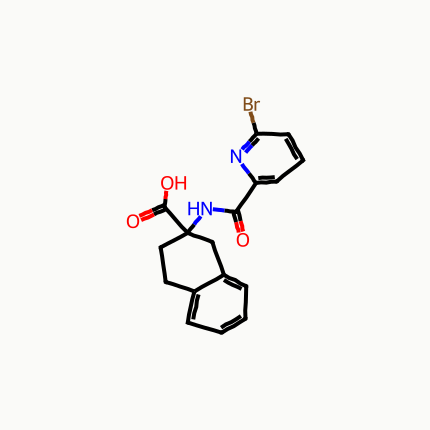 O=C(NC1(C(=O)O)CCc2ccccc2C1)c1cccc(Br)n1